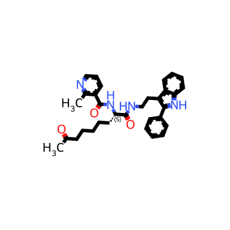 CC(=O)CCCCC[C@H](NC(=O)c1cccnc1C)C(=O)NCCc1c(-c2ccccc2)[nH]c2ccccc12